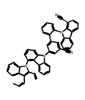 C=Cc1c(/C=C\C)c2ccccc2n1-c1cccc2c1c1ccccc1n2-c1cc(C#N)cc(-c2ccccc2-n2c3ccccc3c3cccc(C#N)c32)c1